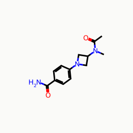 CC(=O)N(C)C1CN(c2ccc(C(N)=O)cc2)C1